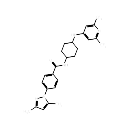 Cc1cc(C)n(-c2ccc(C(=O)NC3CCC(Nc4cc(C(F)(F)F)nc(C(F)(F)F)c4)CC3)cc2)n1